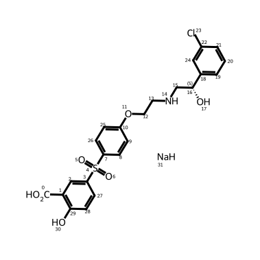 O=C(O)c1cc(S(=O)(=O)c2ccc(OCCNC[C@@H](O)c3cccc(Cl)c3)cc2)ccc1O.[NaH]